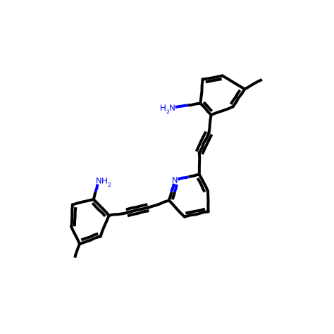 Cc1ccc(N)c(C#Cc2cccc(C#Cc3cc(C)ccc3N)n2)c1